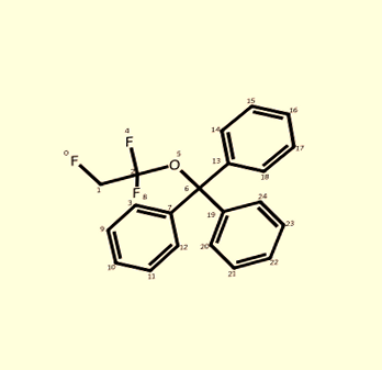 FCC(F)(F)OC(c1ccccc1)(c1ccccc1)c1ccccc1